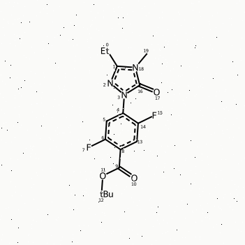 CCc1nn(-c2cc(F)c(C(=O)OC(C)(C)C)cc2F)c(=O)n1C